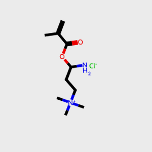 C=C(C)C(=O)OC(N)CC[N+](C)(C)C.[Cl-]